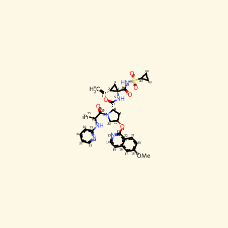 C=C[C@@H]1C[C@]1(NC(=O)[C@@H]1C[C@@H](Oc2nccc3cc(OC)ccc23)CN1C(=O)C(Nc1ccccn1)C(C)C)C(=O)NS(=O)(=O)C1CC1